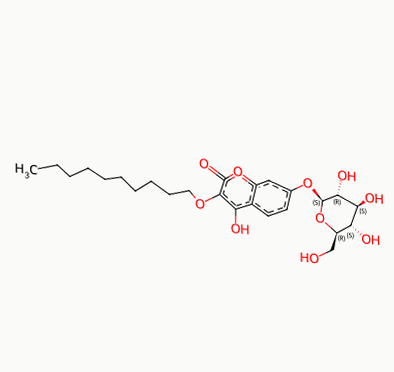 CCCCCCCCCCOc1c(O)c2ccc(O[C@@H]3O[C@H](CO)[C@@H](O)[C@H](O)[C@H]3O)cc2oc1=O